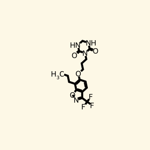 CCCc1c(OCCCN2C(=O)NCNC2=O)ccc2c(C(F)(F)F)noc12